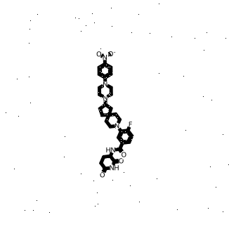 O=C1CCC(NC(=O)c2ccc(F)c(N3CCC4(CCC(N5CCN(c6ccc([N+](=O)[O-])cc6)CC5)C4)CC3)c2)C(=O)N1